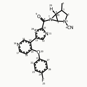 CC1CN(C#N)C2[C@@H]1N2C(=O)c1ncc(-c2cnccc2Oc2ccc(F)cc2)s1